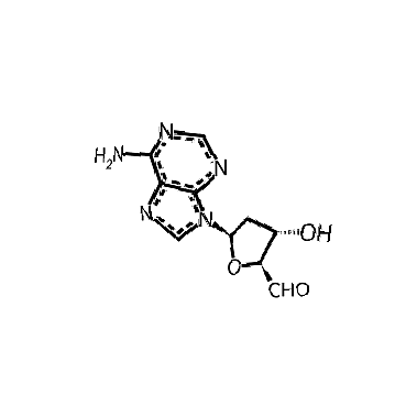 Nc1ncnc2c1ncn2[C@H]1C[C@H](O)[C@@H](C=O)O1